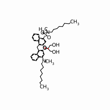 CCCCCCCCN(C)c1cc(OCCO)c(Cc2c(OCCO)cc(S(=O)(=O)N(C)CCCCCCCC)c3ccccc23)c2ccccc12